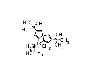 C[Si](C)(C)C1=CC[C]([Ti]([CH3])([CH3])(=[SiH2])[C]2=CC([Si](C)(C)C)=CC2)=C1.Cl.Cl